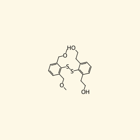 COCc1cccc(COC)c1SSc1c(CCO)cccc1CCO